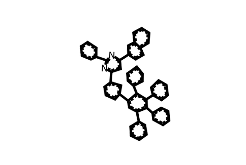 c1ccc(-c2nc(-c3cccc(-c4cc(-c5ccccc5)c(-c5ccccc5)c(-c5ccccc5)c4-c4ccccc4)c3)cc(-c3ccc4ccccc4c3)n2)cc1